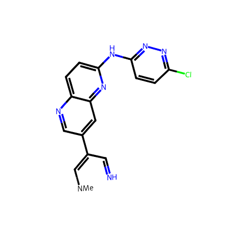 CN/C=C(\C=N)c1cnc2ccc(Nc3ccc(Cl)nn3)nc2c1